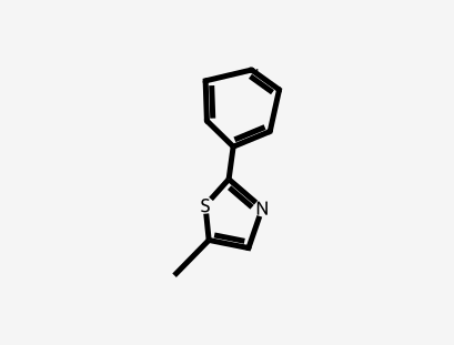 Cc1cnc(-c2cc[c]cc2)s1